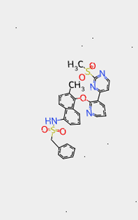 Cc1ccc2c(NS(=O)(=O)Cc3ccccc3)cccc2c1Oc1ncccc1-c1ccnc(S(C)(=O)=O)n1